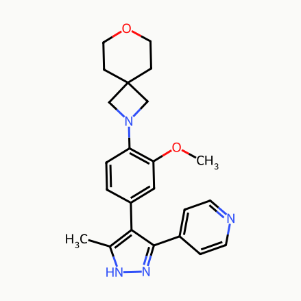 COc1cc(-c2c(-c3ccncc3)n[nH]c2C)ccc1N1CC2(CCOCC2)C1